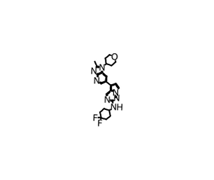 Cc1nc2ncc(-c3ccn4nc(NC5CCC(F)(F)CC5)ncc34)cc2n1C1CCOCC1